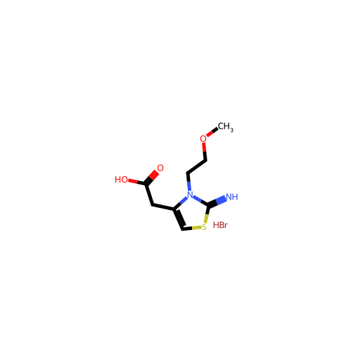 Br.COCCn1c(CC(=O)O)csc1=N